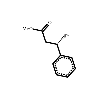 COC(=O)C[C@@H](c1ccccc1)C(C)C